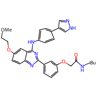 CCC(C)NC(=O)COc1cccc(-c2nc(Nc3ccc(-c4cn[nH]c4)cc3)c3cc(OCCOC)ccc3n2)c1